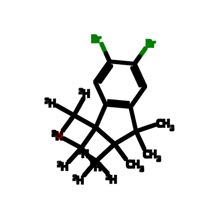 [2H]C([2H])([2H])C1(C)C(C)(C)c2cc(Br)c(Br)cc2C1(C([2H])([2H])[2H])C([2H])([2H])[2H]